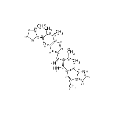 Cc1cc(-c2[nH]nc(-c3ccc([C@H](C)N(C)C(=O)[C@H]4CCCN4C)cc3)c2C(C)C)cn2ncnc12